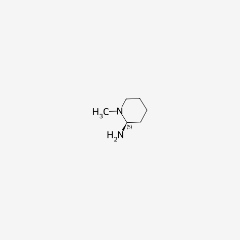 CN1CCCC[C@H]1N